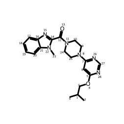 CC(C)COc1cc(N2CCN(C(=O)c3nc4ccccc4n3C)CC2)ncn1